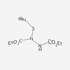 CCOC(=O)NN(SC(C)(C)C)C(=O)OCC